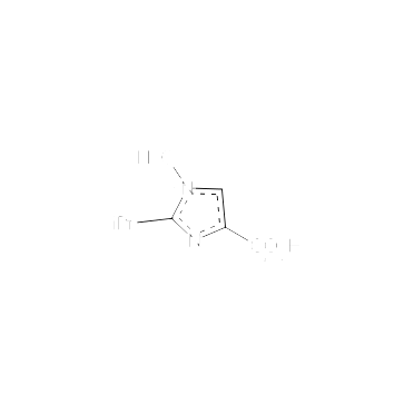 CC(C)c1nc(C(=O)O)cn1C